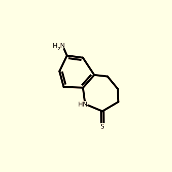 Nc1ccc2c(c1)CCCC(=S)N2